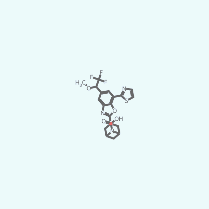 COC(c1cc(-c2nccs2)c2oc(N3CC4CC(C3)N4C(=O)O)nc2c1)C(F)(F)F